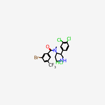 CN(C(=O)c1cc(Br)cc(C(F)(F)F)c1)C1CCNCC1c1ccc(Cl)c(Cl)c1.Cl